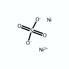 O=S(=O)([O-])[O-].[Ni+2].[Ni]